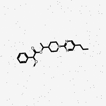 CCCc1cnc(N2CCC(C(C)OC(=O)C(OC)c3ccccc3)CC2)nc1